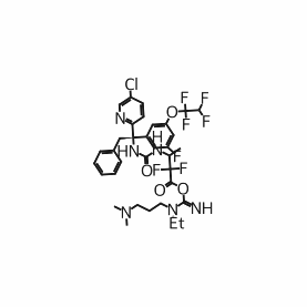 CCN(CCCN(C)C)C(=N)OC(=O)C(F)(F)C(C)NC(=O)N[C@@](Cc1ccccc1)(c1cc(F)cc(OC(F)(F)C(F)F)c1)c1ccc(Cl)cn1